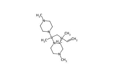 C=C[Si](C)(C)C[Si](C)(N1CCN(C)CC1)N1CCN(C)CC1